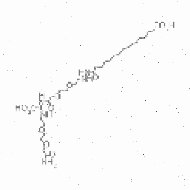 NC(=O)COCCOCCNC(NC(=O)COCCOCCNNC(=O)CCCCCCCCCCCCCCC(=O)O)C(=O)O